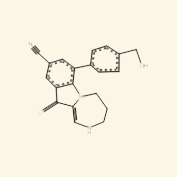 N#Cc1cc2c(c(-c3ccc(CO)cc3)c1)N1CCCNC=C1C2=O